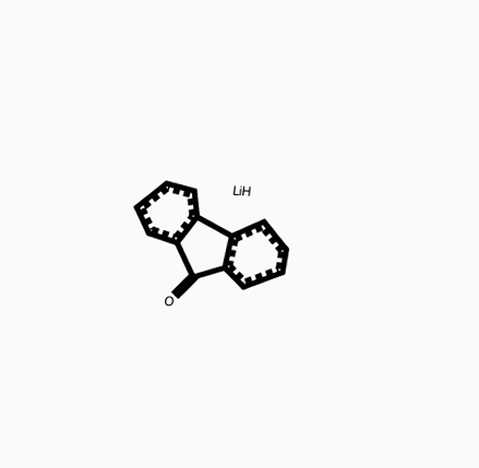 O=C1c2ccccc2-c2ccccc21.[LiH]